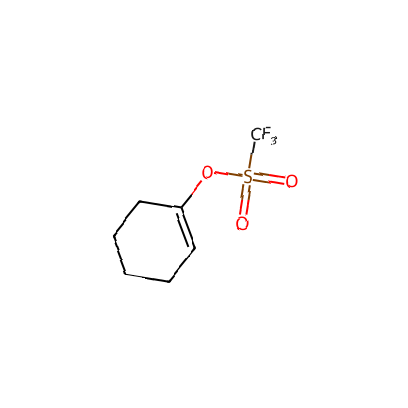 O=S(=O)(OC1=CCCCC1)C(F)(F)F